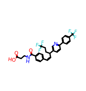 O=C(O)CCNC(=O)c1ccc(/C=C\C(CCC(F)(F)F)c2ccc(-c3ccc(C(F)(F)F)cc3)nc2)cc1